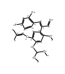 COc1cc(OC(OC)OC)c(CC=C(C)C)cc1/C(C=O)=C\c1ccc(F)cc1F